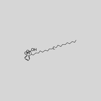 CCCCCCCCCCCCCCCCCCCCC(C(=O)O)c1ccccc1O